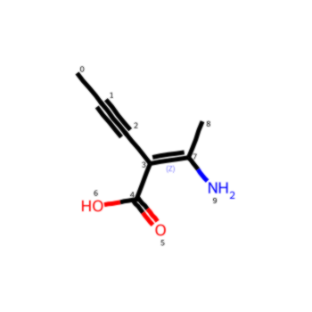 CC#C/C(C(=O)O)=C(\C)N